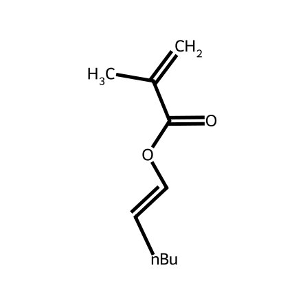 C=C(C)C(=O)OC=CCCCC